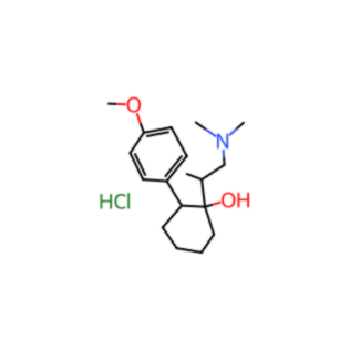 COc1ccc(C2CCCCC2(O)C(C)CN(C)C)cc1.Cl